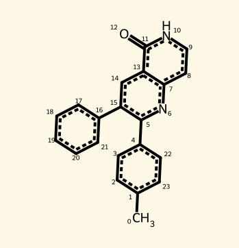 Cc1ccc(-c2nc3cc[nH]c(=O)c3cc2-c2ccccc2)cc1